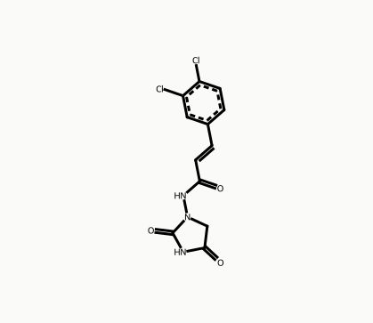 O=C(C=Cc1ccc(Cl)c(Cl)c1)NN1CC(=O)NC1=O